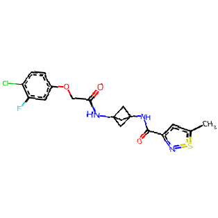 Cc1cc(C(=O)NC23CC(NC(=O)COc4ccc(Cl)c(F)c4)(C2)C3)ns1